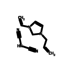 C=CCN1C=CN(C=C)C1.N#CNC#N